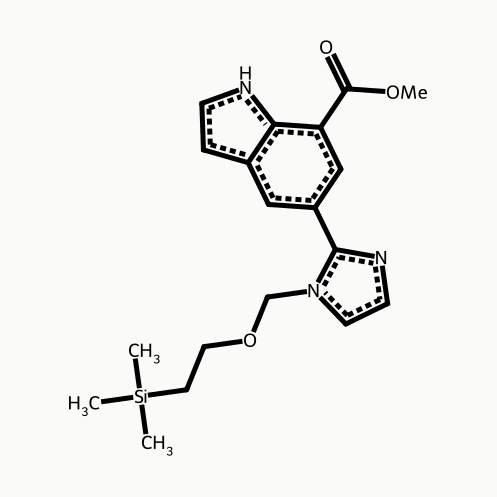 COC(=O)c1cc(-c2nccn2COCC[Si](C)(C)C)cc2cc[nH]c12